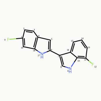 Fc1ccc2cc(-c3[c][nH]c4c(F)cccc34)[nH]c2c1